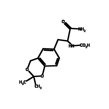 CC1(C)OCc2cc(CC(NC(=O)O)C(N)=O)ccc2O1